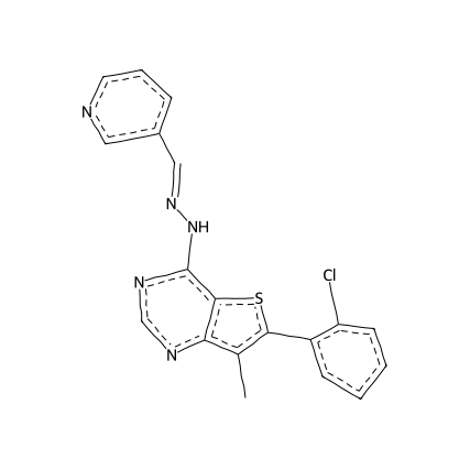 Cc1c(-c2ccccc2Cl)sc2c(NN=Cc3cccnc3)ncnc12